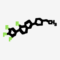 CCC1CCC(c2ccc3c(F)c(-c4cc(F)c(F)c(F)c4)ccc3c2)CC1